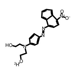 [2H]OCCN(CCO)c1ccc(/N=N/c2ccc([N+](=O)[O-])c3ccccc23)cc1